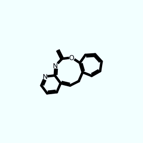 C=C1/N=c2/nccc/c2=C/CC2=C(C=C=CC=C2)O1